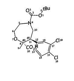 CC(C)(C)OC(=O)N1CCO[C@@](C)(C(=O)O)[C@H](c2ccc(Cl)c(Cl)c2)C1